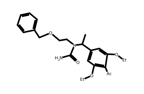 CCOc1cc(C(C)N(CCOCc2ccccc2)C(N)=O)cc(OCC)c1C(C)=O